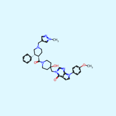 COc1ccc(-n2ccc3c(=O)n(CC4(O)CCN(C(=O)[C@@H]5CCN(Cc6cnn(C)c6)C[C@H]5c5ccccc5)CC4)cnc32)cc1